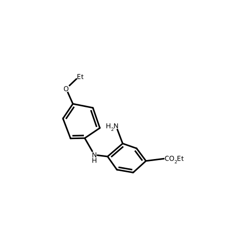 CCOC(=O)c1ccc(Nc2ccc(OCC)cc2)c(N)c1